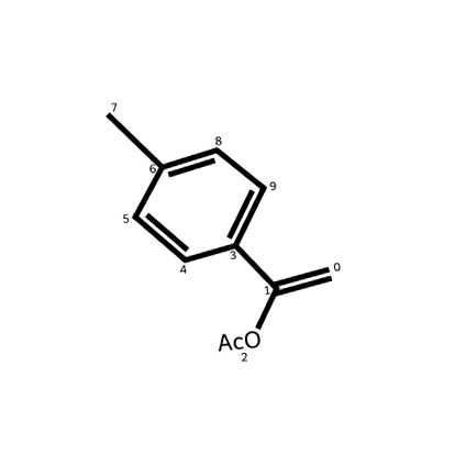 C=C(OC(C)=O)c1ccc(C)cc1